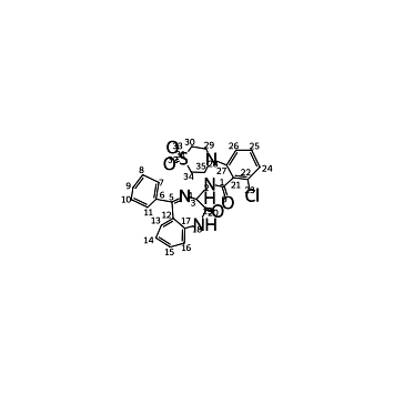 O=C(NC1N=C(c2ccccc2)c2ccccc2NC1=O)c1c(Cl)cccc1N1CCS(=O)(=O)CC1